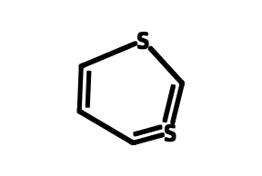 C1=CSC=S=C1